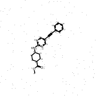 COC(=O)C1CCC(Nc2ncc(C#Cc3ccccc3)cn2)CC1